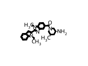 CCn1c(-c2nc3cc(C(=O)N4C[C@H](C)C[C@@H](N)C4)ccc3n2C)cc2ccccc21